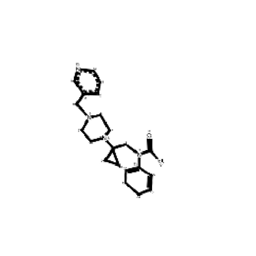 CCC(=O)N(CC1(N2CCN(Cc3cccnc3)CC2)CC1)C1=CCCC=C1